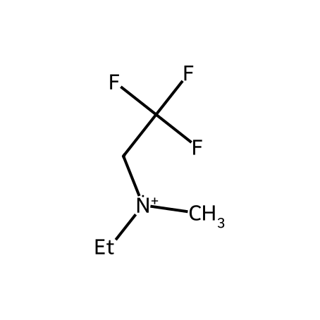 CC[N+](C)CC(F)(F)F